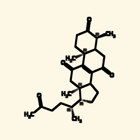 CC(=O)CC[C@@H](C)[C@H]1CCC2C3=C(C(=O)C[C@@]21C)[C@@]1(C)CCC(=O)[C@@H](C)C1CC3=O